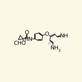 N=C/C=C(\C=C\N)Oc1ccc(NC(=O)C2(C=O)CC2)cc1